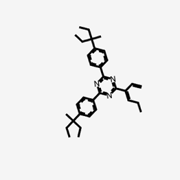 C=C/C(=C\CC)c1nc(-c2ccc(C(C)(CC)CC)cc2)nc(-c2ccc(C(C)(CC)CC)cc2)n1